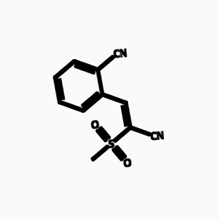 CS(=O)(=O)C(C#N)=Cc1ccccc1C#N